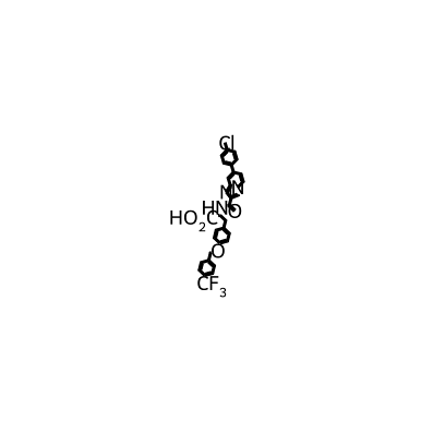 O=C(NC(Cc1ccc(OCc2ccc(C(F)(F)F)cc2)cc1)C(=O)O)c1cn2ccc(-c3ccc(Cl)cc3)cc2n1